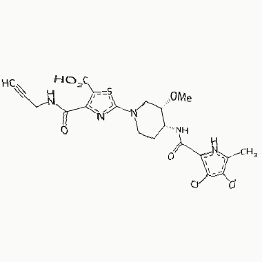 C#CCNC(=O)c1nc(N2CC[C@@H](NC(=O)c3[nH]c(C)c(Cl)c3Cl)[C@@H](OC)C2)sc1C(=O)O